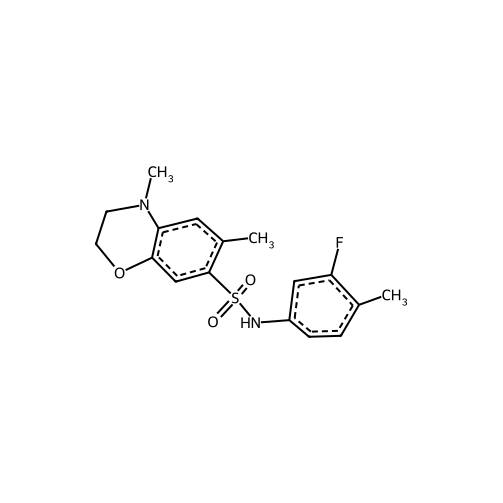 Cc1ccc(NS(=O)(=O)c2cc3c(cc2C)N(C)CCO3)cc1F